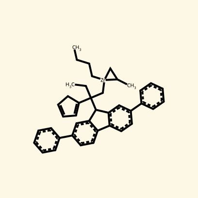 CCC[CH2][Zr]1([CH2]C(CC)(C2=CC=CC2)C2c3cc(-c4ccccc4)ccc3-c3ccc(-c4ccccc4)cc32)[CH2][CH]1C